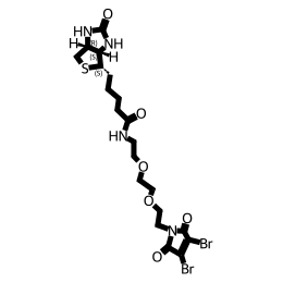 O=C(CCCC[C@@H]1SC[C@@H]2NC(=O)N[C@@H]21)NCCOCCOCCN1C(=O)C(Br)=C(Br)C1=O